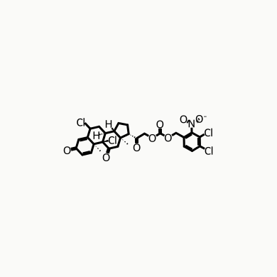 C[C@]12CC(=O)[C@@]3(Cl)[C@@H](CC(Cl)C4=CC(=O)C=C[C@@]43C)[C@@H]1CC[C@@H]2C(=O)COC(=O)OCc1ccc(Cl)c(Cl)c1[N+](=O)[O-]